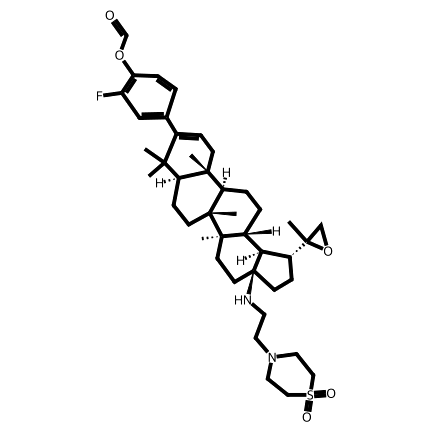 CC1([C@@H]2CC[C@]3(NCCN4CCS(=O)(=O)CC4)CC[C@]4(C)[C@H](CC[C@@H]5[C@@]6(C)CC=C(c7ccc(OC=O)c(F)c7)C(C)(C)[C@@H]6CC[C@]54C)[C@@H]23)CO1